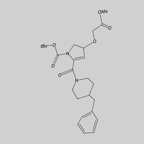 COC(=O)COC1C=C(C(=O)N2CCC(Cc3ccccc3)CC2)N(C(=O)OC(C)(C)C)C1